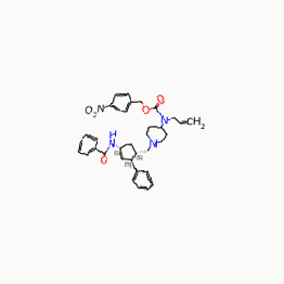 C=CCN(C(=O)OCc1ccc([N+](=O)[O-])cc1)C1CCN(C[C@H]2C[C@@H](NC(=O)c3ccccc3)C[C@@H]2c2ccccc2)CC1